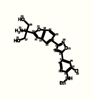 CCNc1ncc(-c2nc(-c3ccc4oc(C(N)(CO)CO)cc4c3)no2)cc1Cl